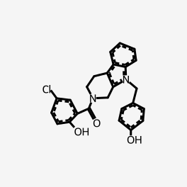 O=C(c1cc(Cl)ccc1O)N1CCc2c(n(Cc3ccc(O)cc3)c3ccccc23)C1